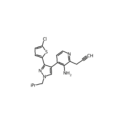 C#CCc1nccc(-c2cn(CC(C)C)nc2-c2ccc(Cl)s2)c1N